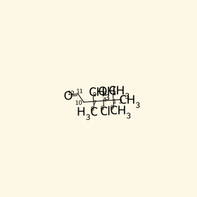 CC(C)(C)[C@@](O)(Cl)C(C)(C)CC=O